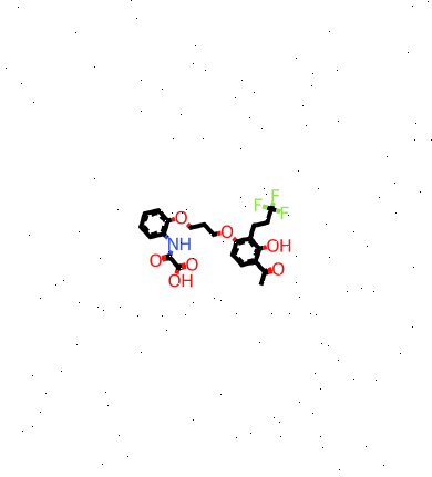 CC(=O)c1ccc(OCCCOc2ccccc2NC(=O)C(=O)O)c(CCC(F)(F)F)c1O